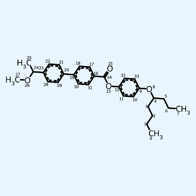 CCCCC(CCC)Oc1ccc(OC(=O)c2ccc(-c3ccc(C(C)OC)cc3)cc2)cc1